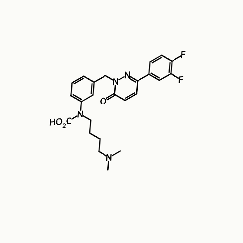 CN(C)CCCCN(C(=O)O)c1cccc(Cn2nc(-c3ccc(F)c(F)c3)ccc2=O)c1